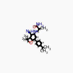 [2H]C1([2H])COc2c(-c3ccc(C(C)C)cc3)cc(NCC(=C)C(N)=O)c(C#N)c21